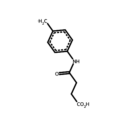 [CH2]c1ccc(NC(=O)CCC(=O)O)cc1